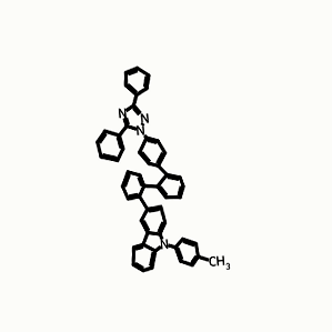 Cc1ccc(-n2c3ccccc3c3cc(-c4ccccc4-c4ccccc4-c4ccc(-n5nc(-c6ccccc6)nc5-c5ccccc5)cc4)ccc32)cc1